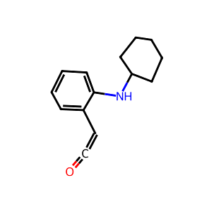 O=C=Cc1ccccc1NC1CCCCC1